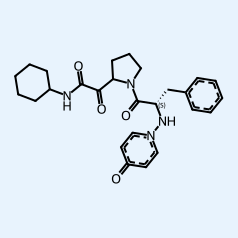 O=C(NC1CCCCC1)C(=O)C1CCCN1C(=O)[C@H](Cc1ccccc1)Nn1ccc(=O)cc1